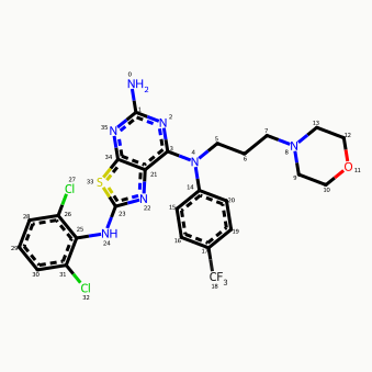 Nc1nc(N(CCCN2CCOCC2)c2ccc(C(F)(F)F)cc2)c2nc(Nc3c(Cl)cccc3Cl)sc2n1